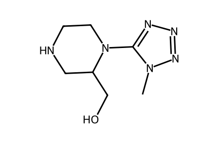 Cn1nnnc1N1CCNCC1CO